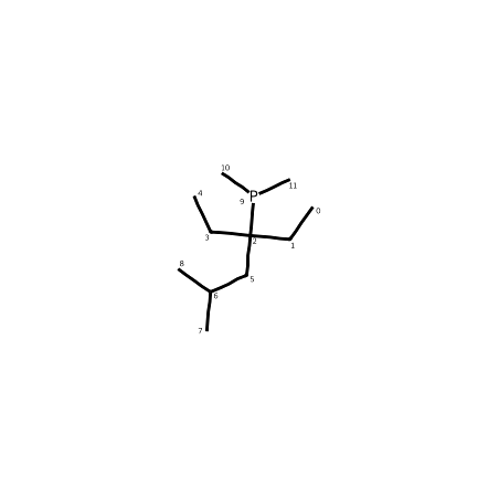 CCC(CC)(CC(C)C)P(C)C